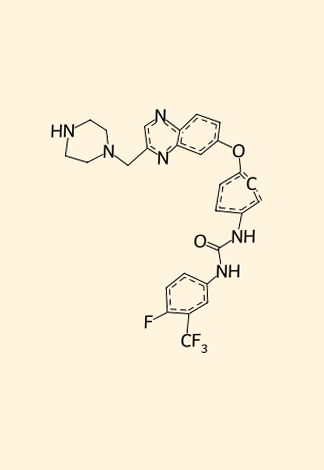 O=C(Nc1ccc(Oc2ccc3ncc(CN4CCNCC4)nc3c2)cc1)Nc1ccc(F)c(C(F)(F)F)c1